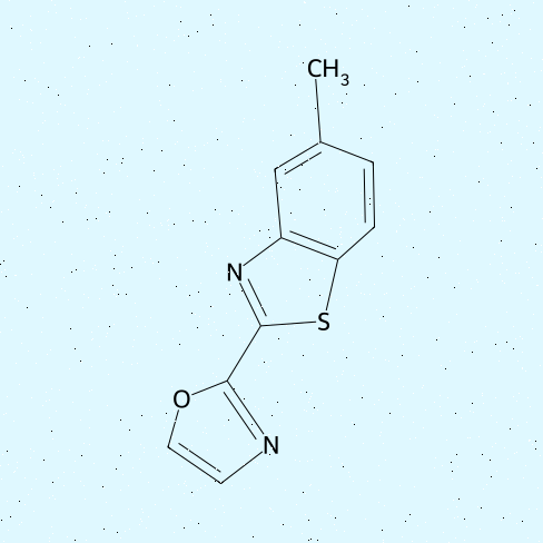 Cc1ccc2sc(-c3ncco3)nc2c1